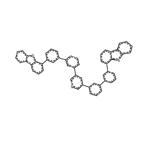 c1cc(-c2cncc(-c3cccc(-c4cccc(-c5cccc6c5sc5ccccc56)c4)c3)c2)cc(-c2cccc(-c3cccc4c3sc3ccccc34)c2)c1